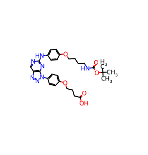 CC(C)(C)OC(=O)NCCCCOc1ccc(Nc2ncc3nnn(-c4ccc(OCCCC(=O)O)cc4)c3n2)cc1